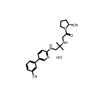 CC(C)(CNc1ccc(-c2cccc(C#N)c2)cn1)NCC(=O)N1CCC[C@H]1C#N.Cl